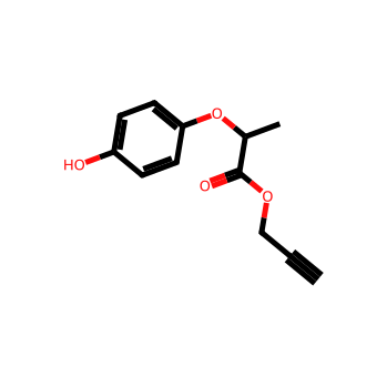 C#CCOC(=O)C(C)Oc1ccc(O)cc1